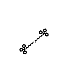 c1ccc(C(CCCCCCCCOCCCCCCCCC(c2ccccc2)(c2ccccc2)c2ccccc2)(c2ccccc2)c2ccccc2)cc1